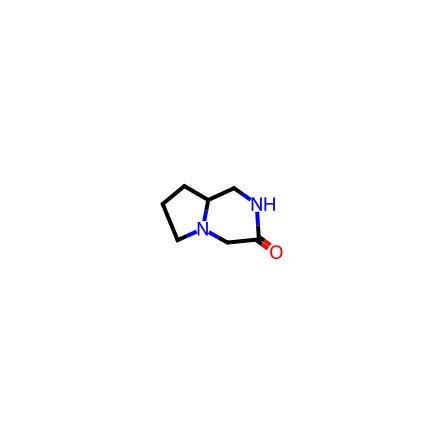 O=C1CN2CCCC2CN1